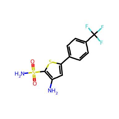 Nc1cc(-c2ccc(C(F)(F)F)cc2)sc1S(N)(=O)=O